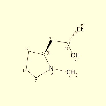 CC[C@H](O)C[C@@H]1CCCN1C